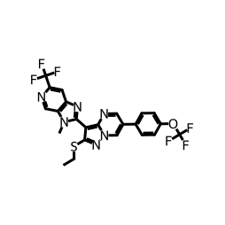 CCSc1nn2cc(-c3ccc(OC(F)(F)F)cc3)cnc2c1-c1nc2cc(C(F)(F)F)ncc2n1C